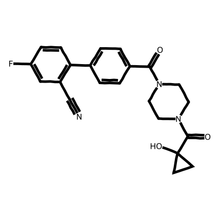 N#Cc1cc(F)ccc1-c1ccc(C(=O)N2CCN(C(=O)C3(O)CC3)CC2)cc1